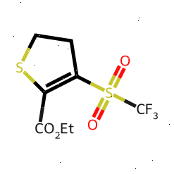 CCOC(=O)C1=C(S(=O)(=O)C(F)(F)F)CCS1